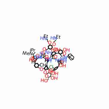 CCNCCOc1ccc(C(=O)NC(=O)C[C@@H]2NC(=O)[C@H](NC(=O)[C@@H](CC(C)C)NC)[C@H](O)c3ccc(c(C)c3)Oc3cc4cc(c3O[C@@H]3O[C@H](CO)[C@@H](O)[C@H](O)[C@H]3O)Oc3ccc(cc3Cl)[C@@H](O)[C@@H]3NC(=O)[C@H](NC(=O)[C@@H]4NC2=O)c2ccc(O)c(c2)-c2c(O)cc(O)cc2[C@@H](C(=O)NC2C4CC5CC(C4)CC2C5)NC3=O)cc1OCCNCC